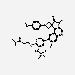 COc1ccc(N2CC3(C2)C(=O)N(C)c2cnc4cc(F)c(-c5cnc(OCCNC(C)C)c(NS(C)(=O)=O)c5)cc4c23)cc1